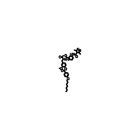 CCCCCCCOc1ccc(C(=O)Oc2ccc(CC(NC(=O)c3cccc(NC(=O)c4c(C)noc4C)c3)C(C)=O)cc2OC)cc1